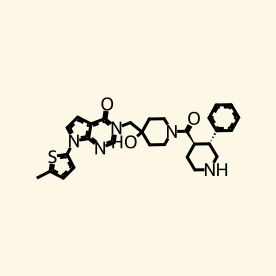 Cc1ccc(-n2ccc3c(=O)n(CC4(O)CCN(C(=O)[C@@H]5CCNC[C@H]5c5ccccc5)CC4)cnc32)s1